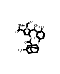 CNC(=O)c1cc(NC(=O)C23CC4CC(C2)CC(C(F)(F)F)(C4)C3)c([C@@H](C)c2cc(F)ccc2Cl)n1CC(C)=O